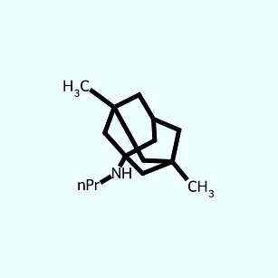 CCCNC12CC3CC(C)(CC(C)(C3)C1)C2